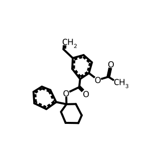 C=Cc1ccc(OC(C)=O)c(C(=O)OC2(c3ccccc3)CCCCC2)c1